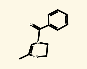 CC1=CN(C(=O)c2ccccc2)CCN1